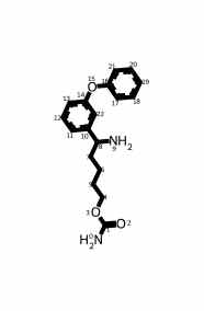 NC(=O)OCCCCC(N)c1cccc(Oc2ccccc2)c1